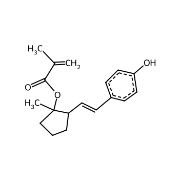 C=C(C)C(=O)OC1(C)CCCC1C=Cc1ccc(O)cc1